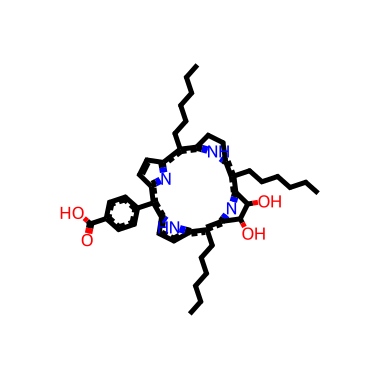 CCCCCCc1c2nc(c(-c3ccc(C(=O)O)cc3)c3ccc([nH]3)c(CCCCCC)c3nc(c(CCCCCC)c4[nH]c1CC4)C(O)C3O)C=C2